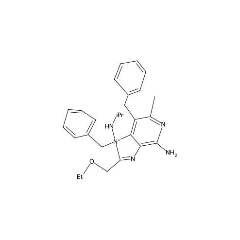 CCOCC1=Nc2c(N)nc(C)c(Cc3ccccc3)c2[N+]1(Cc1ccccc1)NC(C)C